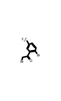 O=C(CBr)c1cc(C(F)(F)F)ccc1Br